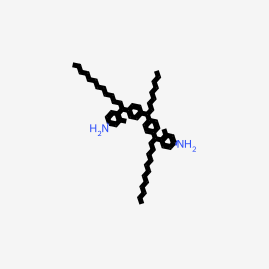 CCCCCCCCCCCCC(c1ccc(C(CCCCCCCC)c2ccc(C(CCCCCCCCCCCC)c3ccc(N)cc3C)cc2)cc1)c1ccc(N)cc1C